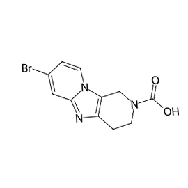 O=C(O)N1CCc2nc3cc(Br)ccn3c2C1